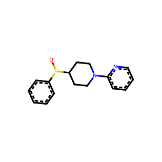 [O-][S+](c1ccccc1)C1CCN(c2ccccn2)CC1